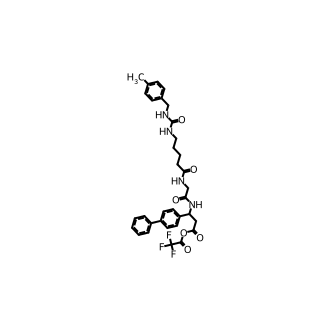 Cc1ccc(CNC(=O)NCCCCC(=O)NCC(=O)NC(CC(=O)OC(=O)C(F)(F)F)c2ccc(-c3ccccc3)cc2)cc1